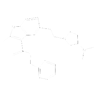 CC(=O)N(C)C1CCN(CCc2ccc3[nH]c(C)c(C(=O)OCc4ccccc4)c3c2)C1